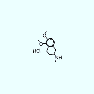 CNC1CCc2c(ccc(OC)c2OC)C1.Cl